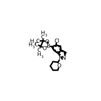 CC1(C)OB(c2cc3c(cnn3C3CCCCO3)cc2Cl)OC1(C)C